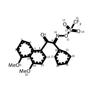 COc1cccc2c(C(=O)/C(=N/OS(=O)(=O)C(F)(F)F)c3ccccc3)ccc(OC)c12